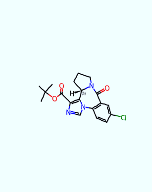 CC(C)(C)OC(=O)c1ncn2c1[C@@H]1CCCN1C(=O)c1cc(Cl)ccc1-2